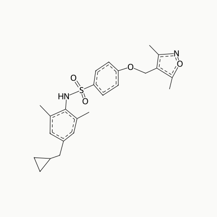 Cc1cc(CC2CC2)cc(C)c1NS(=O)(=O)c1ccc(OCc2c(C)noc2C)cc1